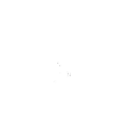 S=C1N(Cc2ccccc2)CC2CSc3ccccc3N12